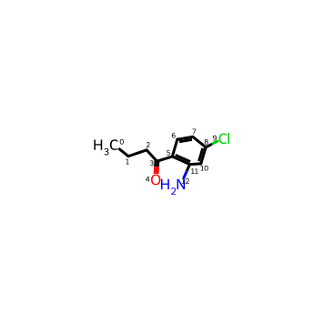 CCCC(=O)c1ccc(Cl)cc1N